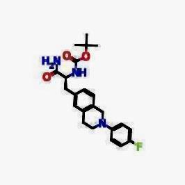 CC(C)(C)OC(=O)N[C@@H](Cc1ccc2c(c1)CCN(c1ccc(F)cc1)C2)C(N)=O